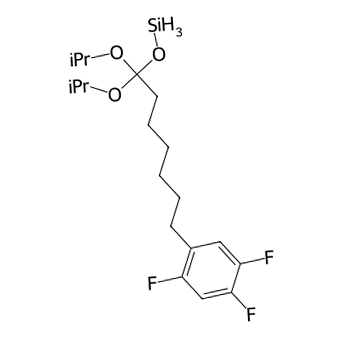 CC(C)OC(CCCCCCc1cc(F)c(F)cc1F)(O[SiH3])OC(C)C